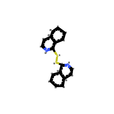 c1ccc2c(SSc3nccc4ccccc34)nccc2c1